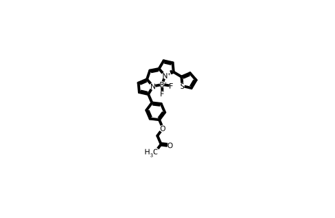 CC(=O)COc1ccc(-c2ccc3n2[B-](F)(F)[N+]2=C(c4cccs4)C=CC2=C3)cc1